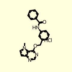 Cl.Cn1ccc2ncnc(OCc3cccc(NC(=O)c4ccccc4)c3)c21